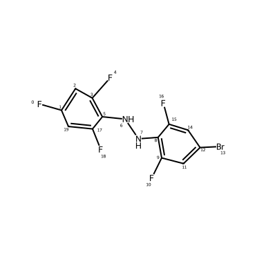 Fc1cc(F)c(NNc2c(F)cc(Br)cc2F)c(F)c1